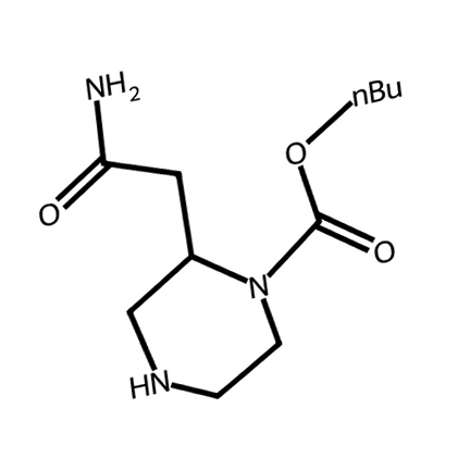 CCCCOC(=O)N1CCNCC1CC(N)=O